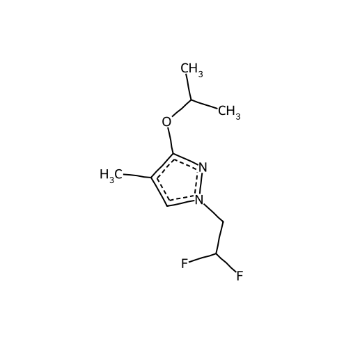 Cc1cn(CC(F)F)nc1OC(C)C